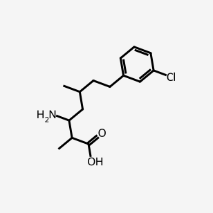 CC(CCc1cccc(Cl)c1)CC(N)C(C)C(=O)O